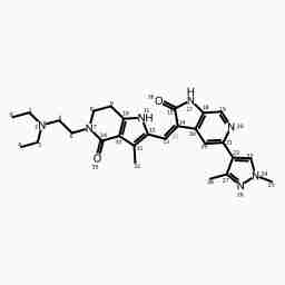 CCN(CC)CCN1CCc2[nH]c(/C=C3\C(=O)Nc4cnc(-c5cn(C)nc5C)cc43)c(C)c2C1=O